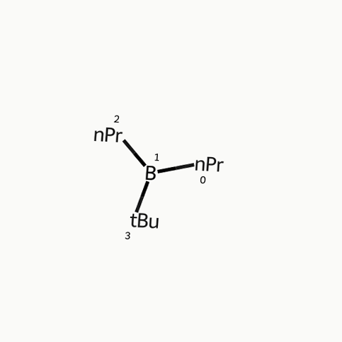 CCCB(CCC)C(C)(C)C